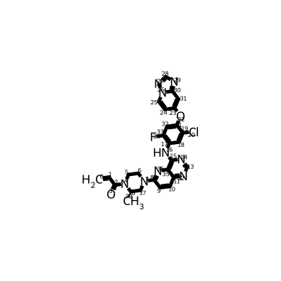 C=CC(=O)N1CCN(c2ccc3ncnc(Nc4cc(Cl)c(Oc5ccn6ncnc6c5)cc4F)c3n2)C[C@@H]1C